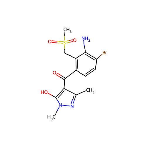 Cc1nn(C)c(O)c1C(=O)c1ccc(Br)c(N)c1CS(C)(=O)=O